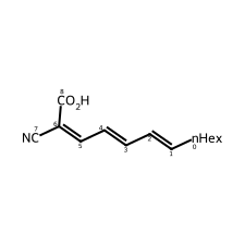 CCCCCCC=CC=CC=C(C#N)C(=O)O